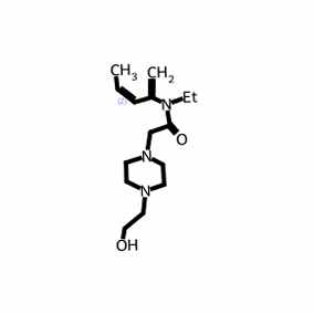 C=C(/C=C\C)N(CC)C(=O)CN1CCN(CCO)CC1